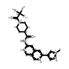 Cn1cc(-c2cc3cc(NC(=O)C4CCN(C(=O)C(F)(F)F)CC4)ncc3cn2)cn1